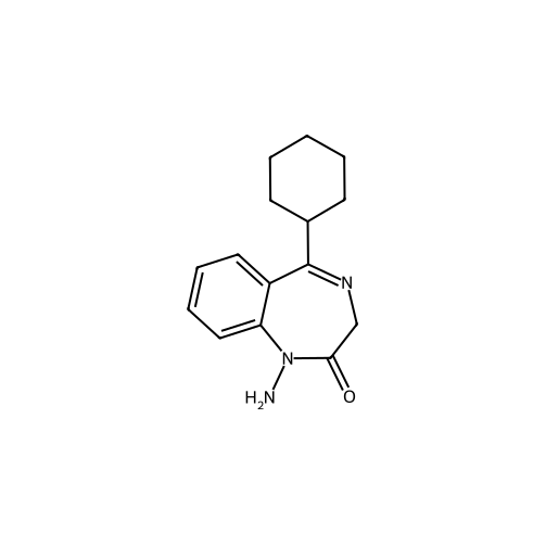 NN1C(=O)CN=C(C2CCCCC2)c2ccccc21